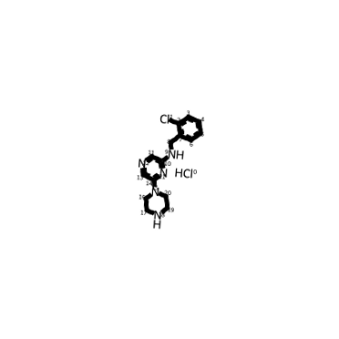 Cl.Clc1ccccc1CNc1cncc(N2CCNCC2)n1